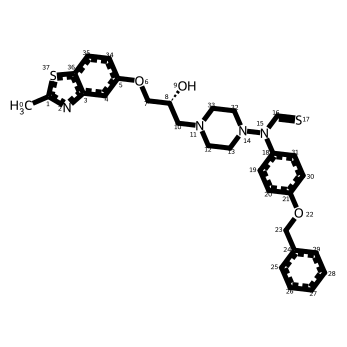 Cc1nc2cc(OC[C@H](O)CN3CCN(N(C=S)c4ccc(OCc5ccccc5)cc4)CC3)ccc2s1